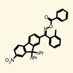 CCCC1(CCC)c2cc(/C(=N/OC(=O)c3ccccc3)c3ccccc3C)ccc2-c2ccc([N+](=O)[O-])cc21